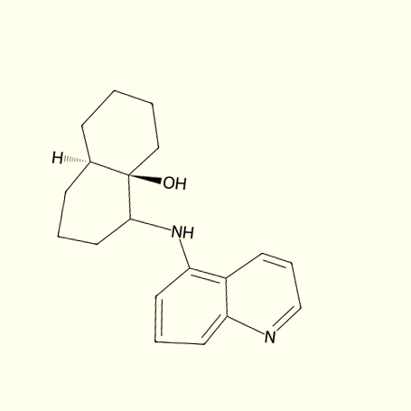 O[C@]12CCCC[C@@H]1CCCC2Nc1cccc2ncccc12